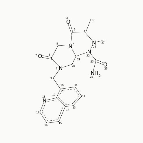 CC1C(=O)N2CC(=O)N(Cc3cccc4cccnc34)CC2N(C(N)=O)N1C